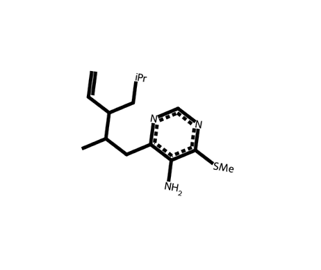 C=CC(CC(C)C)C(C)Cc1ncnc(SC)c1N